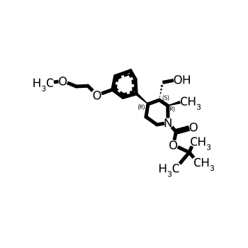 COCCOc1cccc([C@@H]2CCN(C(=O)OC(C)(C)C)[C@H](C)[C@H]2CO)c1